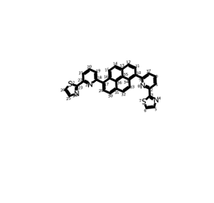 c1cc(-c2nccs2)nc(-c2ccc3ccc4c(-c5cccc(-c6nccs6)n5)ccc5ccc2c3c54)c1